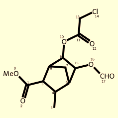 COC(=O)C1C(C)C2CC1C(OC(=O)CCl)C2OC=O